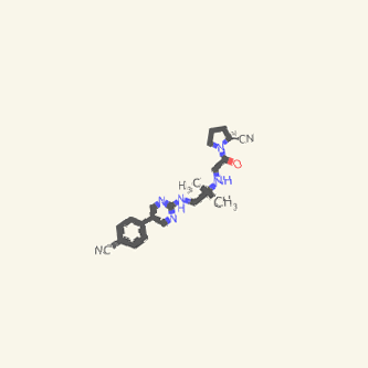 CC(C)(CNc1ncc(-c2ccc(C#N)cc2)cn1)NCC(=O)N1CCC[C@H]1C#N